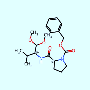 COC(OC)[C@@H](NC(=O)[C@@H]1CCCN1C(=O)OCc1ccccc1)C(C)C